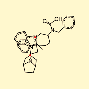 Cc1nc2ccccc2n1C1CC2CCC(C1)N2CCC1(c2ccccc2)CCC(N(Cc2ccccc2)C(=O)O)CC1